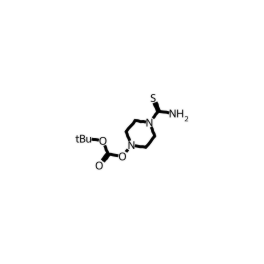 CC(C)(C)OC(=O)ON1CCN(C(N)=S)CC1